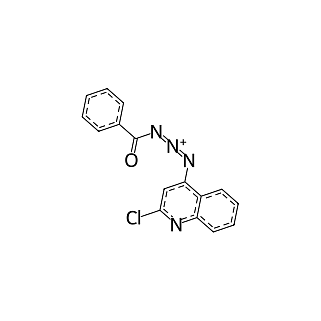 O=C(N=[N+]=Nc1cc(Cl)nc2ccccc12)c1ccccc1